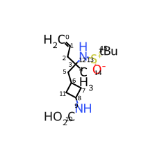 C=CCC(C)(CC1CC(NC(=O)O)C1)N[S@+]([O-])C(C)(C)C